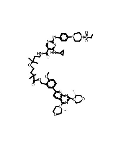 CCS(=O)(=O)N1CCN(c2ccc(Nc3ncc(C(=O)NCCC(C)(C)OCCC(C)(C)C(=O)OCc4cc(-c5ccc6c(N7CCOC[C@H]7C)nc(N7CCOC[C@H]7C)nc6n5)ccc4OC)c(NC4CC4)n3)cc2)CC1